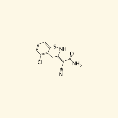 N#CC(C(N)=O)=C1Cc2c(Cl)cccc2SN1